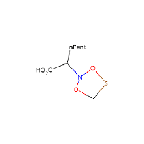 CCCCCC(C(=O)O)N1OCSO1